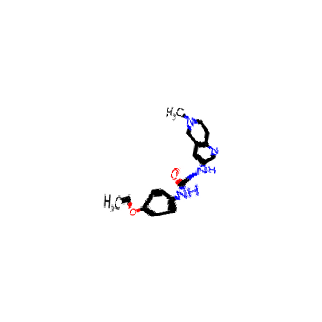 CCOc1ccc(NC(=O)Nc2cnc3c(c2)CN(C)CC3)cc1